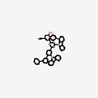 CC1C=C(c2nc(-c3ccc(-c4cccc(-c5ccccc5)c4)c(-n4c5ccccc5c5ccccc54)c3)nc(-n3c4ccccc4c4cccc(-c5ccccc5)c43)n2)C=C(C#N)C1